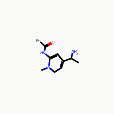 CC(C)C(=O)NC1=CC(C(C)N)=CCN1C